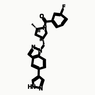 C[C@H]1C[C@@H](Cn2ncc3cc(-c4cn[nH]c4)ccc32)CN1C(=O)c1cccc(F)c1